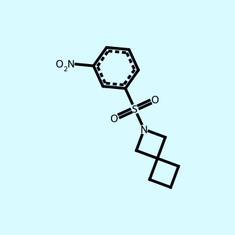 O=[N+]([O-])c1cccc(S(=O)(=O)N2CC3(CCC3)C2)c1